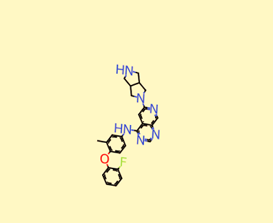 Cc1cc(Nc2ncnc3cnc(N4CC5CNCC5C4)cc23)ccc1Oc1ccccc1F